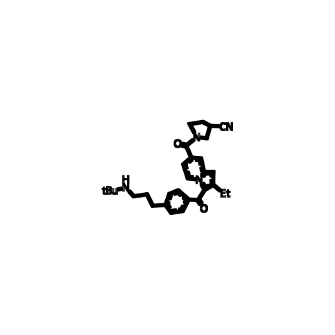 CCc1cc2cc(C(=O)N3CCC(C#N)C3)ccn2c1C(=O)c1ccc(CCCNC(C)(C)C)cc1